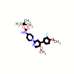 COc1ccc(-c2cc(N3CCC(NC(=O)OC(C)(C)C)CC3)ncc2OC)cc1F